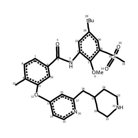 COc1c(NC(=O)c2ccc(C)c(Oc3ccnc(CC4CCNCC4)c3)c2)cc(C(C)(C)C)cc1S(C)(=O)=O